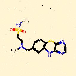 CNS(=O)(=O)CCN(C)Cc1ccc2c(c1)Nc1nccnc1S2